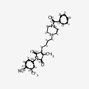 CC1=C(CCCCN2CCN(C(=O)c3ccccc3)CC2)C(=O)N(c2ccc(C#N)c(C(F)(F)F)c2)C1=O